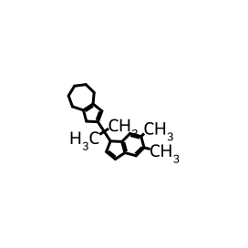 Cc1cc2c(cc1C)C(C(C)(C)C1=CC3=C(CCCCC3)C1)C=C2